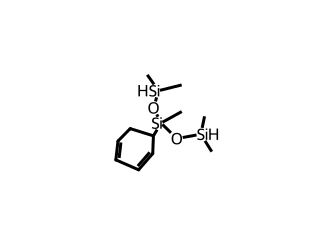 C[SiH](C)O[Si](C)(O[SiH](C)C)C1C=CC=CC1